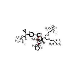 CC(C)(C)OC(=O)N(c1ccc(-c2cnn3c(N(COCC[Si](C)(C)C)COCC[Si](C)(C)C)c(Br)c([C@@H]4C[C@H]5CC[C@@H](C4)N5C(=O)OC(C)(C)C)nc23)cn1)C1CC1